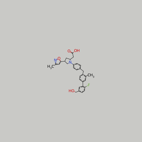 Cc1cc(C2CC(CC(=O)O)N(c3ccc(Cc4ccc(-c5cc(CO)ccc5F)cc4C)cc3)C2)on1